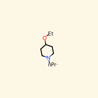 CC[CH]N1CCC(OCC)CC1